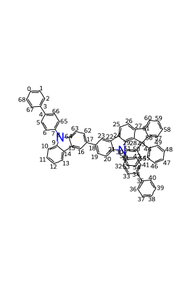 c1ccc(-c2ccc(-n3c4ccccc4c4cc(-c5ccc6c(c5)c5ccc7c(c5n6-c5ccc(-c6ccccc6)cc5)C(c5ccccc5)(c5ccccc5)c5ccccc5-7)ccc43)cc2)cc1